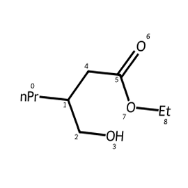 CCCC(CO)CC(=O)OCC